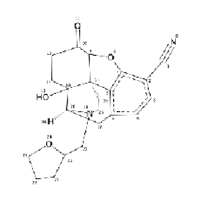 N#Cc1ccc2c3c1OC1C(=O)CCC4(O)[C@H](C2)N(CC2CCCO2)CC[C@@]314